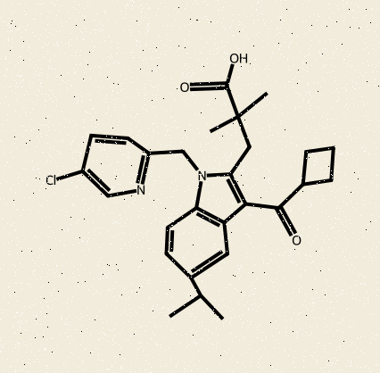 CC(C)c1ccc2c(c1)c(C(=O)C1CCC1)c(CC(C)(C)C(=O)O)n2Cc1ccc(Cl)cn1